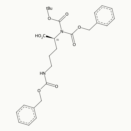 CC(C)(C)OC(=O)N(C(=O)OCc1ccccc1)[C@@H](CCCNC(=O)OCc1ccccc1)C(=O)O